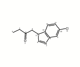 CCC(=O)Cn1cnc2cc(Cl)ccc21